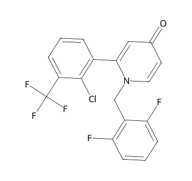 O=c1ccn(Cc2c(F)cccc2F)c(-c2cccc(C(F)(F)F)c2Cl)c1